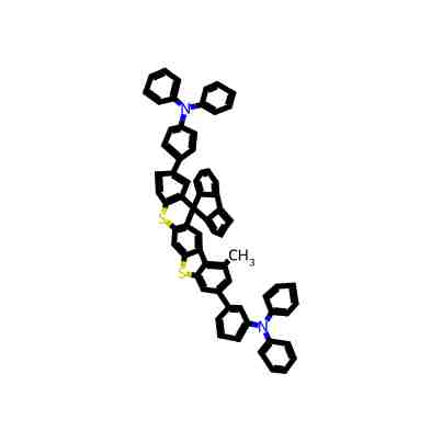 Cc1cc(-c2cccc(N(c3ccccc3)c3ccccc3)c2)cc2sc3cc4c(cc3c12)C1(c2cc(-c3ccc(N(c5ccccc5)c5ccccc5)cc3)ccc2S4)c2ccccc2-c2ccccc21